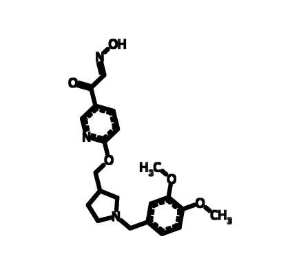 COc1ccc(CN2CCC(COc3ccc(C(=O)C=NO)cn3)C2)cc1OC